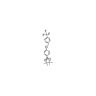 CC1(C)OB(c2ccc(OCc3ccc(C(F)(F)F)cc3)cc2)OC1(C)C